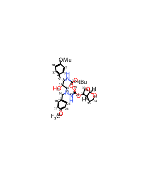 COc1ccc(C[C@H](NC(=O)OC(C)(C)C)[C@@H](O)CN(Cc2ccc(OC(F)(F)F)cc2)NC(=O)O[C@H]2CO[C@H]3OCC[C@H]32)cc1